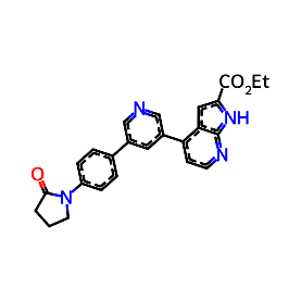 CCOC(=O)c1cc2c(-c3cncc(-c4ccc(N5CCCC5=O)cc4)c3)ccnc2[nH]1